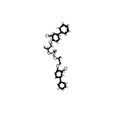 CC(COc1ccc(-c2ccccc2)cc1Cl)OS(=O)OC(C)COc1ccc(-c2ccccc2)cc1Cl